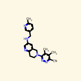 Cc1ccc(CNc2cnc3c(c2)CN(c2nnc(C#N)c(C)c2C)CC3)cn1